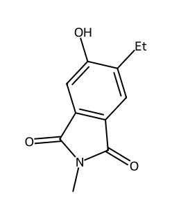 CCc1cc2c(cc1O)C(=O)N(C)C2=O